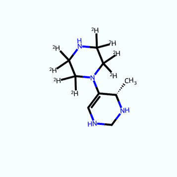 [2H]C1([2H])NC([2H])([2H])C([2H])([2H])N(C2=CNCN[C@H]2C)C1([2H])[2H]